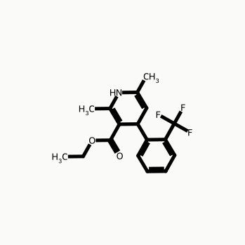 CCOC(=O)C1=C(C)NC(C)=CC1c1ccccc1C(F)(F)F